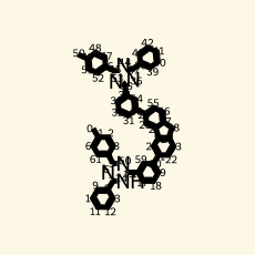 Cc1ccc(C2=NC(c3ccccc3)NC(c3cccc(-c4ccc5c(c4)-c4cc(-c6cccc(-c7nc(-c8ccccc8)nc(-c8ccc(C)cc8)n7)c6)ccc4C5)c3)=N2)cc1